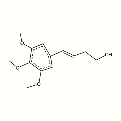 COc1cc(C=CCCO)cc(OC)c1OC